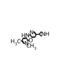 Cc1cc(Nc2ccc(C3CNC3)cn2)c(=O)n(C)c1